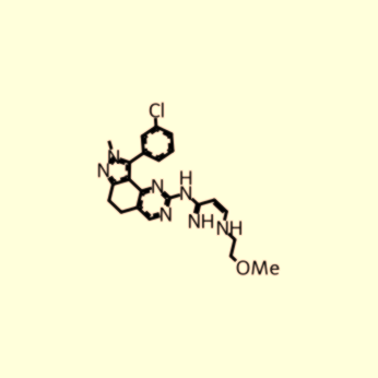 COCCN/C=C\C(=N)Nc1ncc2c(n1)-c1c(nn(C)c1-c1cccc(Cl)c1)CC2